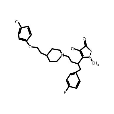 CN1[N]C(=O)C(Cl)=C1C(CCN1CCC(CCOc2ccc(Cl)cc2)CC1)Cc1ccc(F)cc1